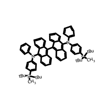 CC(C)(C)[Si](C)(c1ccc(N(c2ccccc2)c2c3ccccc3c(-c3c4ccccc4c(N(c4ccccc4)c4ccc([Si](C)(C(C)(C)C)C(C)(C)C)cc4)c4ccccc34)c3ccccc23)cc1)C(C)(C)C